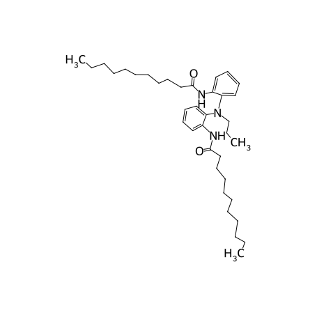 CCCCCCCCCCC(=O)Nc1ccccc1N(CCC)c1ccccc1NC(=O)CCCCCCCCCC